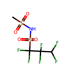 CS(=O)(=O)NS(=O)(=O)C(F)(F)C(F)(F)C(F)F